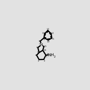 NC1CCCC2CN(Cc3ccccc3)CC12